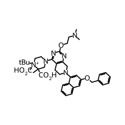 CN(C)CCOc1nc2c(c(N3CC[N+](C(=O)O)(C(C)(C)C)C(C)(C(=O)O)C3)n1)CCN(c1cc(OCc3ccccc3)cc3ccccc13)C2